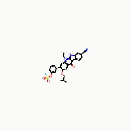 CCn1c2cc(-c3cccc(OS(=O)(=O)F)c3)c(OCC(C)C)cc2c(=O)c2c3ccc(C#N)cc3[nH]c21